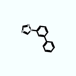 c1ccc(-c2cccc(-n3cncn3)c2)cc1